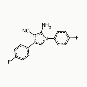 N#Cc1c(-c2ccc(F)cc2)cn(-c2ccc(F)cc2)c1N